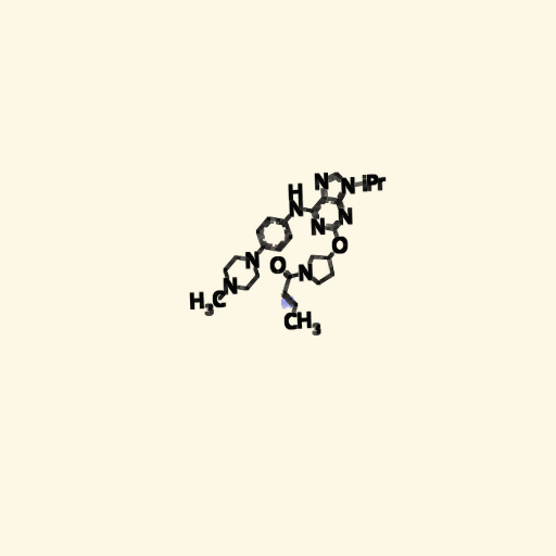 C/C=C/C(=O)N1CCC(Oc2nc(Nc3ccc(N4CCN(C)CC4)cc3)c3ncn(C(C)C)c3n2)C1